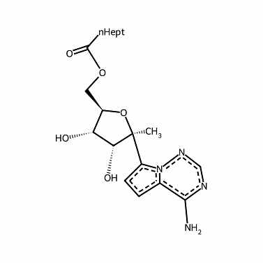 CCCCCCCC(=O)OC[C@H]1O[C@@](C)(c2ccc3c(N)ncnn23)[C@H](O)[C@@H]1O